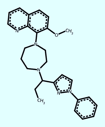 CCC(c1ccn(-c2ccccc2)n1)N1CCCN(c2c(OC)ccc3cccnc23)CC1